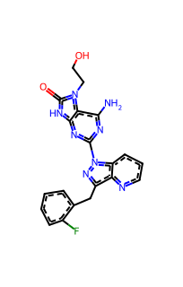 Nc1nc(-n2nc(Cc3ccccc3F)c3ncccc32)nc2[nH]c(=O)n(CCO)c12